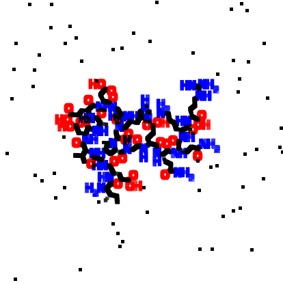 CC[C@H](C)[C@H](N)C(=O)N[C@@H](CCC(=O)O)C(=O)NCC(=O)N[C@H](C(=O)N[C@@H](CC(=O)O)C(=O)N[C@@H](C)C(=O)N[C@@H](CCC(=O)O)C(=O)N[C@@H](CC(=O)O)C(=O)NCC(=O)N[C@@H](Cc1c[nH]cn1)C(=O)NCC(=O)N1CCC[C@H]1C(=O)NCC(=O)N[C@@H](CCC(=O)O)C(=O)N[C@@H](CCC(N)=O)C(=O)N[C@@H](CCC(N)=O)C(=O)N[C@@H](CCCCN)C(=O)N[C@@H](CCCNC(=N)N)C(=O)O)C(C)C